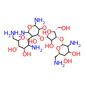 NCC1O[C@H]([C@@]2(O)C(N)O[C@@H](N)C(O)[C@H]2O[C@@H]2O[C@H](CO)[C@H](O[C@H]3O[C@H](CN)[C@@H](O)C(O)C3N)C2O)C(N)[C@@H](O)[C@@H]1O